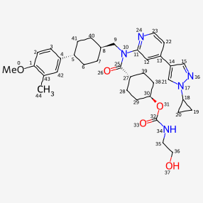 COc1ccc([C@H]2CC[C@H](CN(c3cc(-c4cnn(C5CC5)c4)ccn3)C(=O)[C@H]3CC[C@H](OC(=O)NCCO)CC3)CC2)cc1C